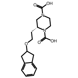 O=C(O)N1CCN(C(=O)O)[C@H](CCOC2Cc3ccccc3C2)C1